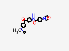 CN(c1ccc(C(=O)c2ccc(NC(=O)c3ccc(N4CCOCC4)cc3)cc2)cc1)C1CC1